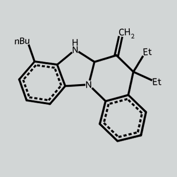 C=C1C2Nc3c(CCCC)cccc3N2c2ccccc2C1(CC)CC